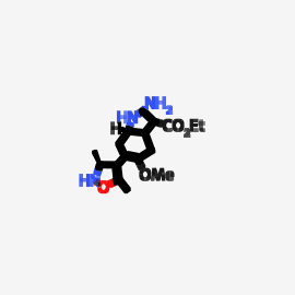 CCOC(=O)C1C(N)N[C@H]2CC(C3=C(C)ON[C@H]3C)=C(OC)CC12